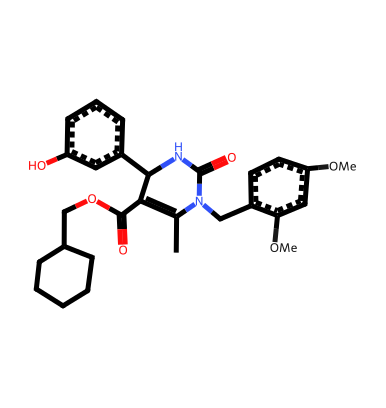 COc1ccc(CN2C(=O)NC(c3cccc(O)c3)C(C(=O)OCC3CCCCC3)=C2C)c(OC)c1